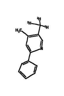 [2H]C([2H])([2H])c1cnc(-c2ccccc2)cc1C